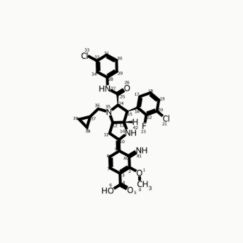 COC1=C(C(=O)O)C=C/C(=C2\CC3[C@@H](N2)[C@H](c2cccc(Cl)c2F)[C@H](C(=O)Nc2cccc(Cl)c2)N3CC2CC2)C1=N